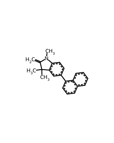 C=C1N(C)c2ccc(-c3cccc4ccccc34)cc2C1(C)C